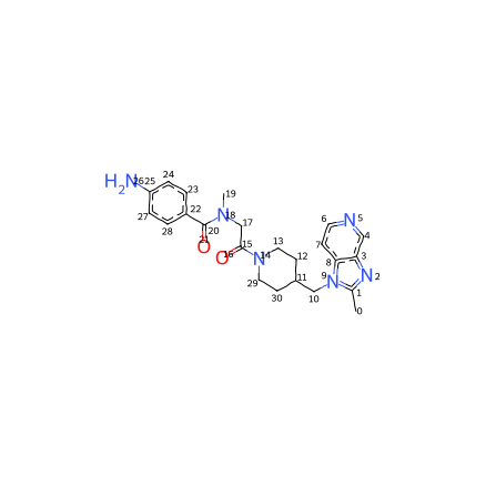 Cc1nc2cnccc2n1CC1CCN(C(=O)CN(C)C(=O)c2ccc(N)cc2)CC1